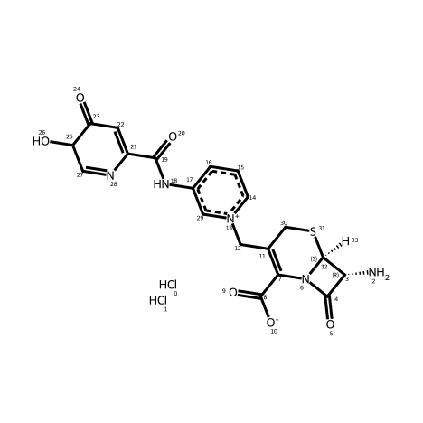 Cl.Cl.N[C@@H]1C(=O)N2C(C(=O)[O-])=C(C[n+]3cccc(NC(=O)C4=CC(=O)C(O)C=N4)c3)CS[C@@H]12